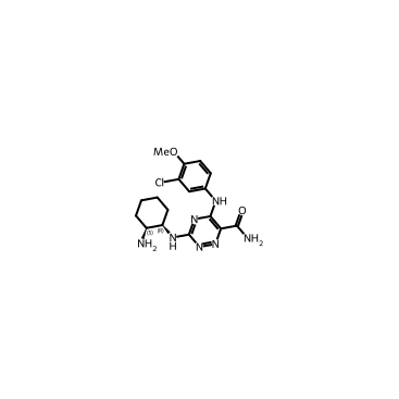 COc1ccc(Nc2nc(N[C@@H]3CCCC[C@@H]3N)nnc2C(N)=O)cc1Cl